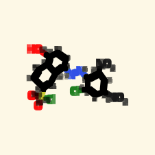 O=[N+]([O-])c1cc(Cl)c(/N=N/c2ccc(O)c3ccc(S(=O)(=O)Cl)cc23)c([N+](=O)[O-])c1